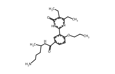 CCCOc1ccc(C(=O)NC(C)CCCN)cc1-c1nc(CC)c(CC)c(=O)[nH]1